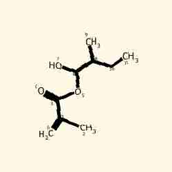 C=C(C)C(=O)OC(O)C(C)CC